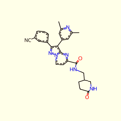 Cc1cc(-c2c(-c3cccc(C#N)c3)nn3ccc(C(=O)NCC4CCC(=O)NC4)nc23)cc(C)n1